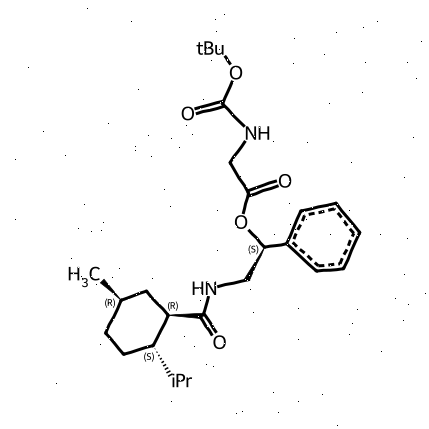 CC(C)[C@@H]1CC[C@@H](C)C[C@H]1C(=O)NC[C@@H](OC(=O)CNC(=O)OC(C)(C)C)c1ccccc1